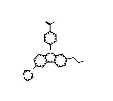 NC(=O)c1ccc(-n2c3ccc(-n4ccnc4)cc3c3ccc(CCC(=O)O)cc32)cc1